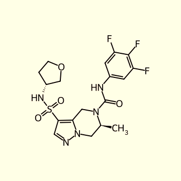 C[C@H]1Cn2ncc(S(=O)(=O)N[C@@H]3CCOC3)c2CN1C(=O)Nc1cc(F)c(F)c(F)c1